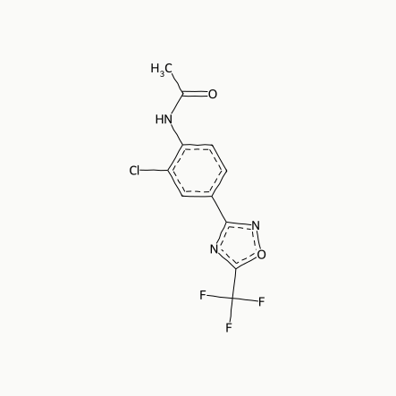 CC(=O)Nc1ccc(-c2noc(C(F)(F)F)n2)cc1Cl